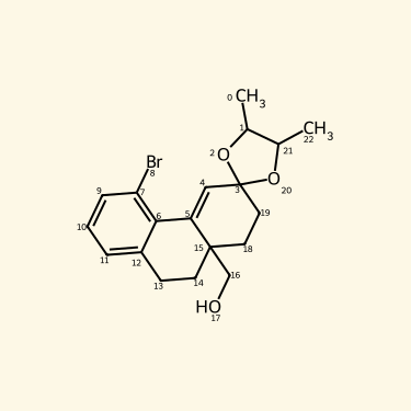 CC1OC2(C=C3c4c(Br)cccc4CCC3(CO)CC2)OC1C